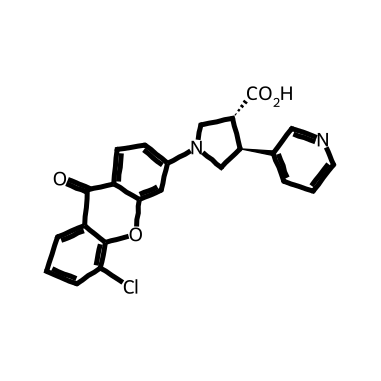 O=C(O)[C@H]1CN(c2ccc3c(=O)c4cccc(Cl)c4oc3c2)C[C@@H]1c1cccnc1